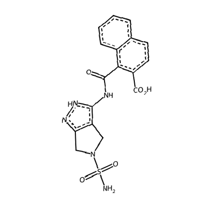 NS(=O)(=O)N1Cc2n[nH]c(NC(=O)c3c(C(=O)O)ccc4ccccc34)c2C1